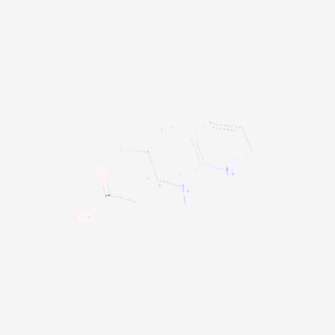 O=C(O)C[C@@H](Nc1ccccn1)C(F)F